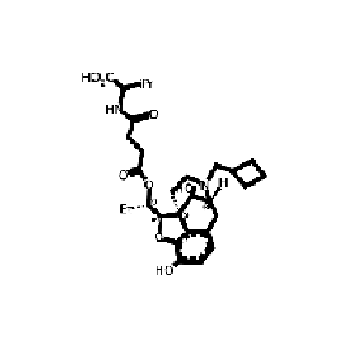 CC[C@H](OC(=O)CCC(=O)NC(C(=O)O)C(C)C)[C@@H]1Oc2c(O)ccc3c2[C@@]12CCN(CC1CCC1)[C@H](C3)C2(C)O